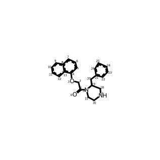 O=C(COc1cccc2ccccc12)N1CCNCC1Cc1ccccc1